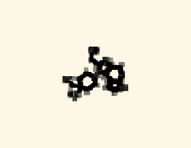 CC1(CC#N)CCN(n2c(CO)nc3cnc4[nH]ccc4c32)CC1